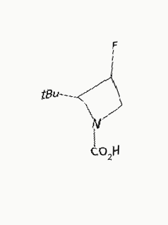 CC(C)(C)C1C(F)CN1C(=O)O